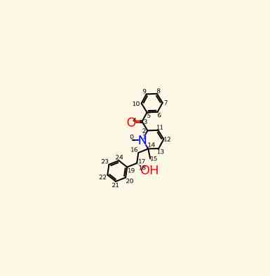 CN1C(C(=O)c2ccccc2)C=CCC1(C)C[C@H](O)c1ccccc1